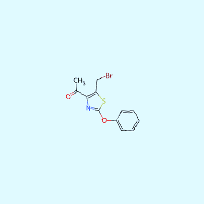 CC(=O)c1nc(Oc2ccccc2)sc1CBr